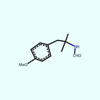 COc1ccc(CC(C)(C)NC=O)cc1